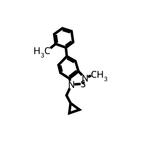 Cc1ccccc1-c1ccc2c(c1)N(C)SN2CC1CC1